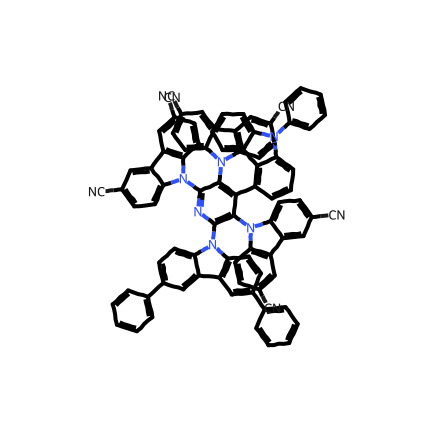 N#Cc1ccc2c(c1)c1cc(C#N)ccc1n2-c1nc(-n2c3ccc(-c4ccccc4)cc3c3cc(-c4ccccc4)ccc32)c(-n2c3ccc(C#N)cc3c3cc(C#N)ccc32)c(-c2cccc3c2c2ccccc2n3-c2ccccc2)c1-n1c2ccc(C#N)cc2c2cc(C#N)ccc21